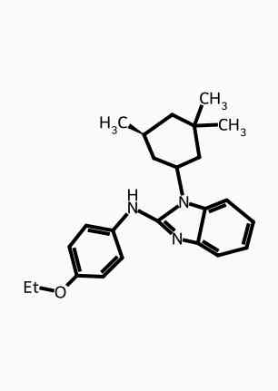 CCOc1ccc(Nc2nc3ccccc3n2C2C[C@@H](C)CC(C)(C)C2)cc1